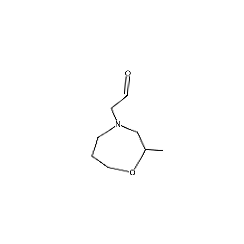 CC1CN(CC=O)CCCO1